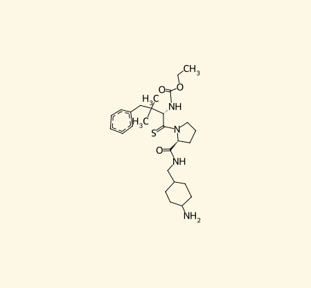 CCOC(=O)N[C@H](C(=S)N1CCC[C@H]1C(=O)NCC1CCC(N)CC1)C(C)(C)Cc1ccccc1